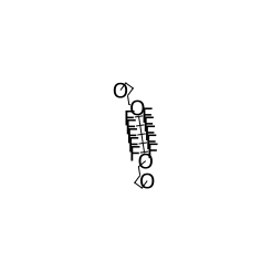 FC(F)(OCC1CCO1)C(F)(F)C(F)(F)C(F)(F)C(F)(F)OCC1CCO1